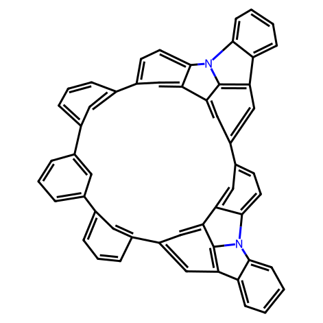 c1cc2cc(c1)c1cccc(c1)c1cc3c4ccccc4n4c5ccc(cc5c(c1)c34)c1cc3c4ccccc4n4c5ccc(cc5c(c1)c34)c1cccc2c1